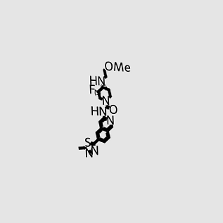 COCCN[C@H]1CCN(C(=O)Nc2cc3cc(-c4nnc(C)s4)ccc3cn2)C[C@@H]1F